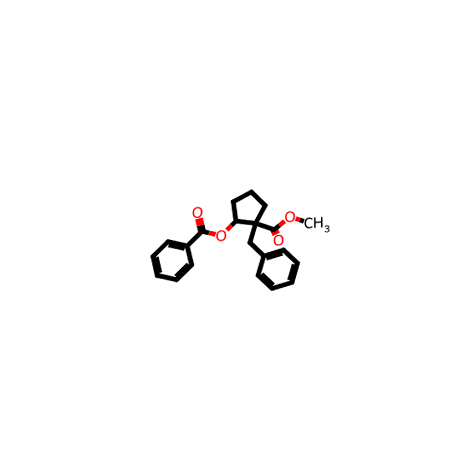 COC(=O)C1(Cc2ccccc2)CCCC1OC(=O)c1ccccc1